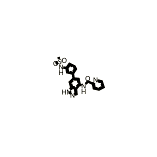 CS(=O)(=O)Nc1cccc(-c2cc(NC(=O)c3ccccn3)c3cn[nH]c3c2)c1